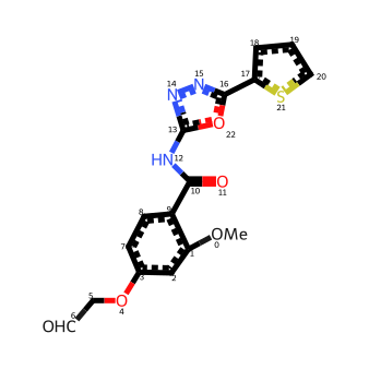 COc1cc(OCC=O)ccc1C(=O)Nc1nnc(-c2cccs2)o1